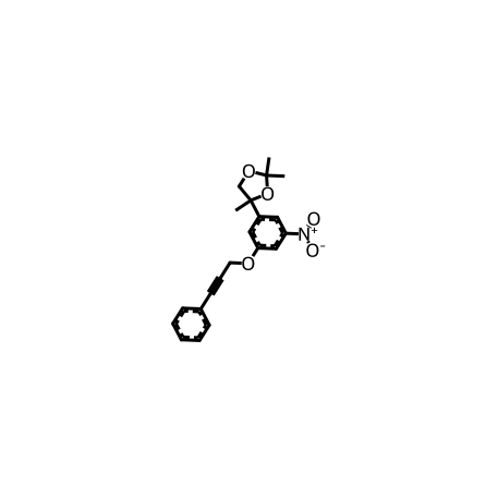 CC1(C)OCC(C)(c2cc(OCC#Cc3ccccc3)cc([N+](=O)[O-])c2)O1